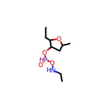 CCNO[PH](=O)OC1CC(C)OC1CC